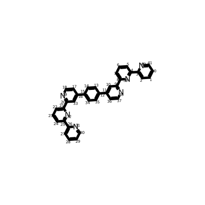 c1ccc(-c2cccc(-c3cc(-c4ccc(-c5ccnc(-c6cccc(-c7ccccn7)n6)c5)cc4)ccn3)n2)nc1